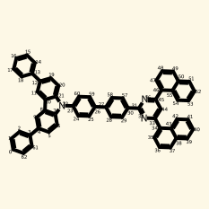 c1ccc(-c2ccc3c(c2)c2cc(-c4ccccc4)ccc2n3-c2ccc(-c3ccc(-c4nc(-c5cccc6ccccc56)cc(-c5cccc6ccccc56)n4)cc3)cc2)cc1